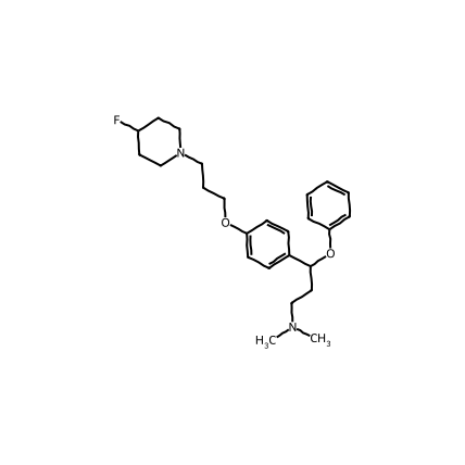 CN(C)CCC(Oc1ccccc1)c1ccc(OCCCN2CCC(F)CC2)cc1